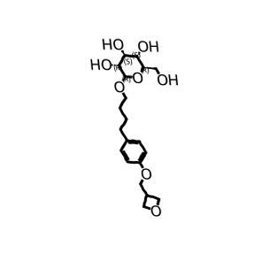 OC[C@H]1O[C@@H](OCCCCc2ccc(OCC3COC3)cc2)[C@H](O)[C@@H](O)[C@@H]1O